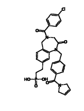 O=C(c1ccc(CN2C(=O)CN(C(=O)c3ccc(Cl)cc3)Cc3ccc(CCP(=O)(O)O)cc32)cc1)N1CC=CC1